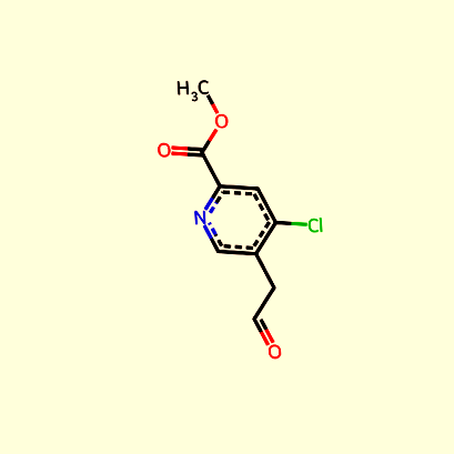 COC(=O)c1cc(Cl)c(CC=O)cn1